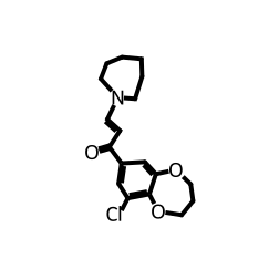 O=C(C=CN1CCCCCC1)c1cc(Cl)c2c(c1)OCCCO2